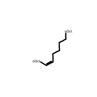 CCC[CH]CCCCCCCC/C=C\CCCCCCCC